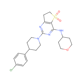 O=S1(=O)CCc2nc(N3CCC(c4ccc(Cl)cc4)CC3)nc(NC3CCOCC3)c21